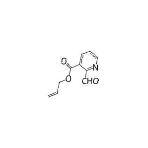 C=CCOC(=O)c1cccnc1C=O